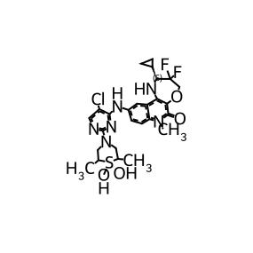 CC1CN(c2ncc(Cl)c(Nc3ccc4c(c3)c3c(c(=O)n4C)OCC(F)(F)[C@H](C4CC4)N3)n2)CC(C)S1(O)O